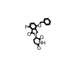 O=C1CCC(N2Cc3c(OCc4ccccc4)ccc(F)c3C2=O)C(=O)N1